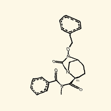 CN(C(=O)c1ccccc1)C(=O)[C@@H]1CCC2CN1C(=O)N2OCc1ccccc1